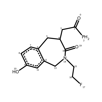 O=C(P)CC1Cc2ccc(O)cc2CN(CCF)C1=O